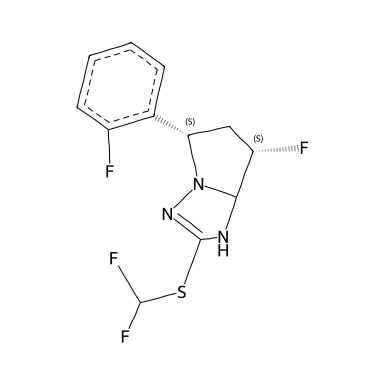 Fc1ccccc1[C@@H]1C[C@H](F)C2NC(SC(F)F)=NN21